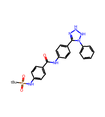 CC(C)(C)S(=O)(=O)Nc1ccc(C(=O)Nc2ccc(C3=NNNN3c3ccccc3)cc2)cc1